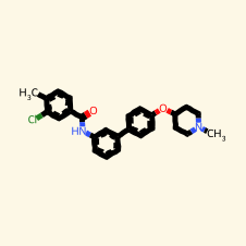 Cc1ccc(C(=O)Nc2cccc(-c3ccc(OC4CCN(C)CC4)cc3)c2)cc1Cl